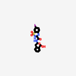 O=C(NCCc1ccccc1C(=O)O)C1=Nc2ccc(I)cc2S(=O)(=O)N1